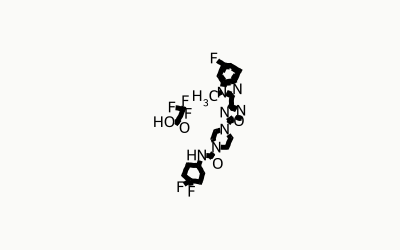 Cn1c(-c2noc(N3CCN(C(=O)NC4CCC(F)(F)CC4)CC3)n2)nc2ccc(F)cc21.O=C(O)C(F)(F)F